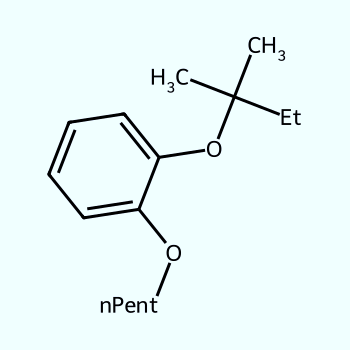 CCCCCOc1ccccc1OC(C)(C)CC